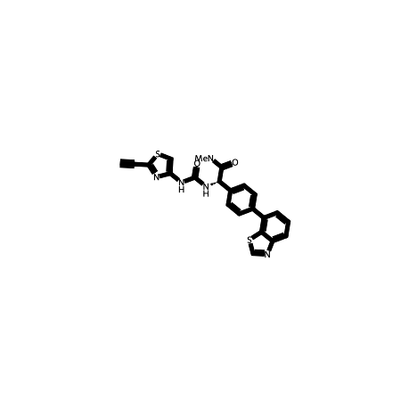 C#Cc1nc(NC(=O)N[C@H](C(=O)NC)c2ccc(-c3cccc4ncsc34)cc2)cs1